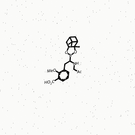 COc1c(CC(NCC(C)=O)B2OC3CC4CC(C4(C)C)C3(C)O2)cccc1C(=O)O